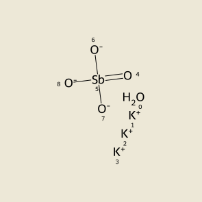 O.[K+].[K+].[K+].[O]=[Sb]([O-])([O-])[O-]